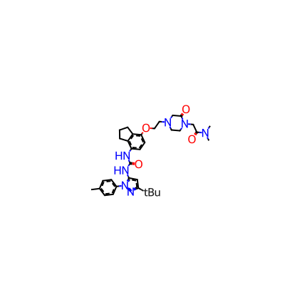 Cc1ccc(-n2nc(C(C)(C)C)cc2NC(=O)Nc2ccc(OCCN3CCN(CC(=O)N(C)C)C(=O)C3)c3c2CCC3)cc1